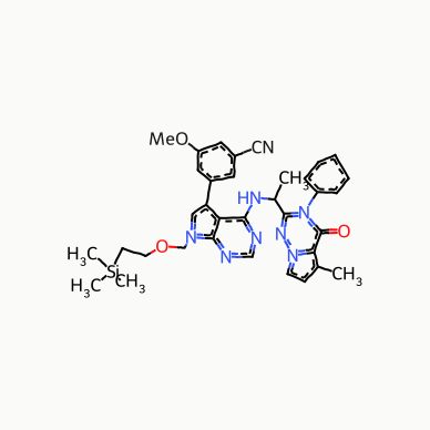 COc1cc(C#N)cc(-c2cn(COCC[Si](C)(C)C)c3ncnc(NC(C)c4nn5ccc(C)c5c(=O)n4-c4ccccc4)c23)c1